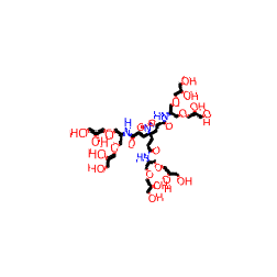 O=C(CCC(CCC(=O)NC(COCC(O)CO)COCC(O)CO)(CCC(=O)NC(COCC(O)CO)COCC(O)CO)[N+](=O)[O-])NC(COCC(O)CO)COCC(O)CO